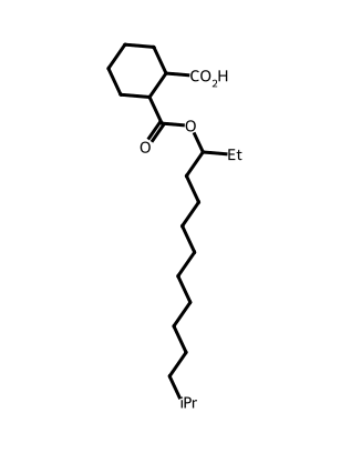 CCC(CCCCCCCCCC(C)C)OC(=O)C1CCCCC1C(=O)O